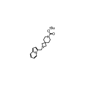 CC(C)(C)OC(=O)N1CCC2(CC1)CN(Cc1ccc3ccccn13)C2